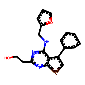 OCCc1nc(NCc2ccco2)c2c(-c3ccccc3)csc2n1